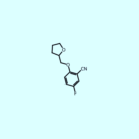 N#Cc1cc(F)[c]cc1OCC1CCCO1